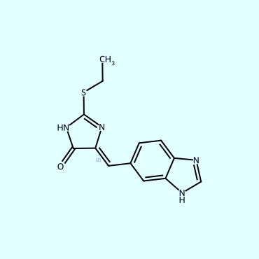 CCSC1=N/C(=C\c2ccc3nc[nH]c3c2)C(=O)N1